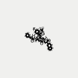 CNC(=O)C(CN1CCN(C(=O)CC(N)(C(=O)OC(C)(C)C)c2ccc(F)cc2)C(CCCNC(=O)OCc2ccccc2)C1=O)c1ccc2ccccc2c1